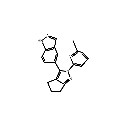 Cc1cccc(-n2nc3c(c2-c2ccc4[nH]ncc4c2)CCC3)n1